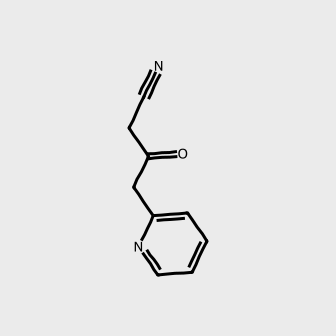 N#CCC(=O)Cc1ccccn1